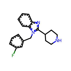 Fc1cccc(Cn2c(C3CCNCC3)nc3ccccc32)c1